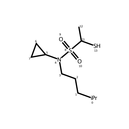 CC(C)CCCN(C1CC1)S(=O)(=O)C(C)S